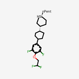 CCCCC[Si@H]1CC[C@H](C2CCC(c3cc(F)c(OCC(F)F)c(F)c3)CC2)CC1